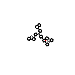 C1=CC2c3ccccc3N(c3ccccc3-c3ccc(-c4ccc(N(c5cccc(-c6cccc7c6oc6ccccc67)c5)c5cccc(C6CC=Cc7ccccc76)c5)cc4)cc3)C2C=C1